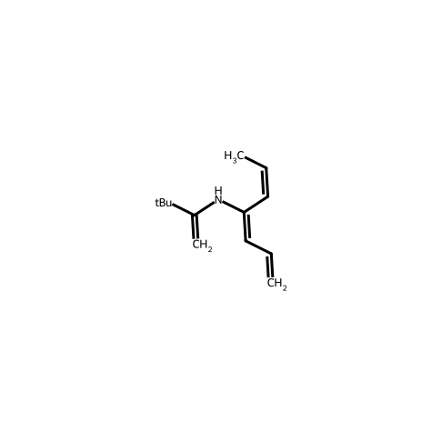 C=C/C=C(\C=C/C)NC(=C)C(C)(C)C